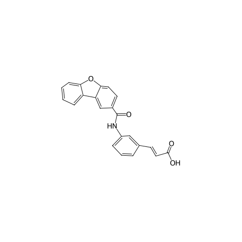 O=C(O)C=Cc1cccc(NC(=O)c2ccc3oc4ccccc4c3c2)c1